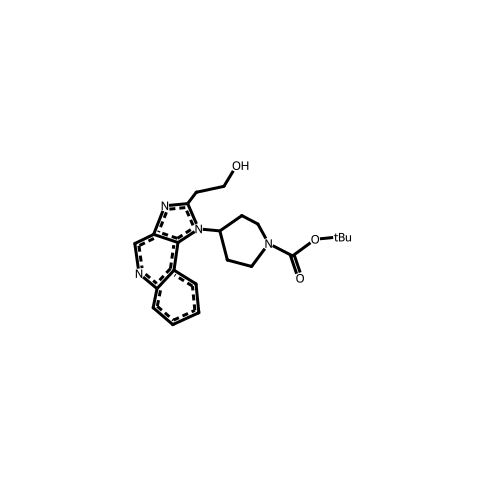 CC(C)(C)OC(=O)N1CCC(n2c(CCO)nc3cnc4ccccc4c32)CC1